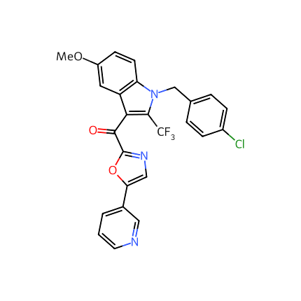 COc1ccc2c(c1)c(C(=O)c1ncc(-c3cccnc3)o1)c(C(F)(F)F)n2Cc1ccc(Cl)cc1